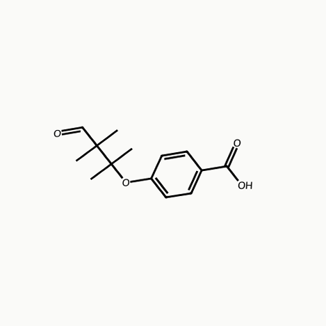 CC(C)(C=O)C(C)(C)Oc1ccc(C(=O)O)cc1